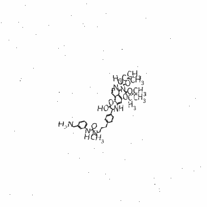 CN(CCCc1ccc(C(Nc2ccc3c(N(C(=O)OC(C)(C)C)C(=O)OC(C)(C)C)nccc3c2)C(=O)O)cc1)C(=O)Nc1cccc(CN)c1